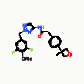 COc1c(F)cc(Cn2ncc(NC(=O)Cc3ccc(C4(C)COC4)cc3)n2)cc1F